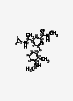 C=C(NC1CC1)c1cc(Cc2cccc(NC)c2C)nc(C(=O)NC)c1